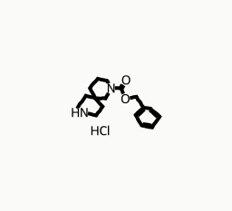 Cl.O=C(OCc1ccccc1)N1CCCC2(CCNCC2)C1